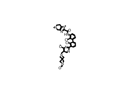 COc1nc(-c2cccc(-c3cccc(NC(=O)c4nc5c(n4C)CCN(C)C5)c3Cl)c2Cl)ncc1CN1CC2(CN(C=O)C2)C1